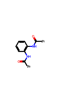 CC(C)C(=O)Nc1[c]cccc1NC(=O)C(C)C